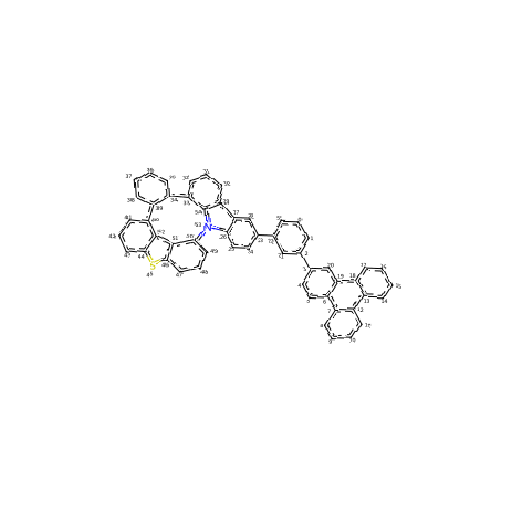 c1cc(-c2ccc3c4ccccc4c4ccccc4c3c2)cc(-c2ccc3c(c2)c2cccc4c5ccccc5c5cccc6sc7cccc(c7c65)n3c42)c1